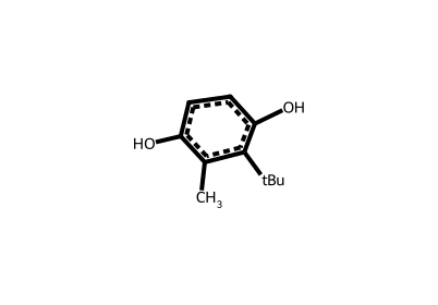 Cc1c(O)ccc(O)c1C(C)(C)C